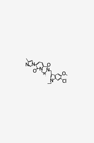 CCn1cc(CN2C(=O)c3ccc(-n4cnc(C)c4)c(=O)n3C[C@H]2C)c2cc(OC)c(Cl)cc21